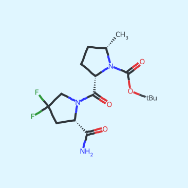 C[C@H]1CC[C@@H](C(=O)N2CC(F)(F)C[C@H]2C(N)=O)N1C(=O)OC(C)(C)C